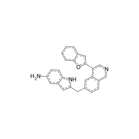 Nc1ccc2[nH]c(Cc3ccc4cncc(-c5cc6ccccc6o5)c4c3)cc2c1